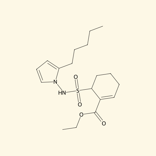 CCCCCc1cccn1NS(=O)(=O)C1CCCC=C1C(=O)OCC